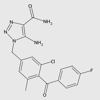 Cc1cc(Cn2nnc(C(N)=O)c2N)cc(Cl)c1C(=O)c1ccc(F)cc1